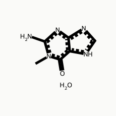 Cn1c(N)nc2nc[nH]c2c1=O.O